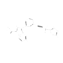 Cc1nnc(C(C)(C)C#Cc2cccc(-c3nc(C(N)=O)n4ccc(Cl)cc34)c2)o1